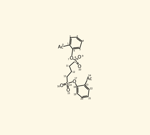 CC(=O)c1ccccc1OS(=O)(=O)CCCS(=O)(=O)Oc1ccccc1C(C)=O